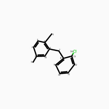 Cc1ccc(C)c(Cc2ccccc2Cl)c1